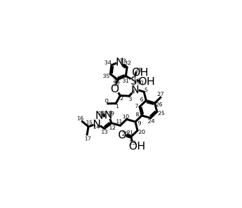 CCC1CN(Cc2cc(C(CCc3cn(C(C)C)nn3)CC(=O)O)ccc2C)S(O)(O)c2cnccc2O1